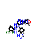 CC1(Nc2ncc3nc(Nc4cccc(Cl)c4F)n([C@H]4CC[C@@H](CN)CC4)c3n2)CCOCC1